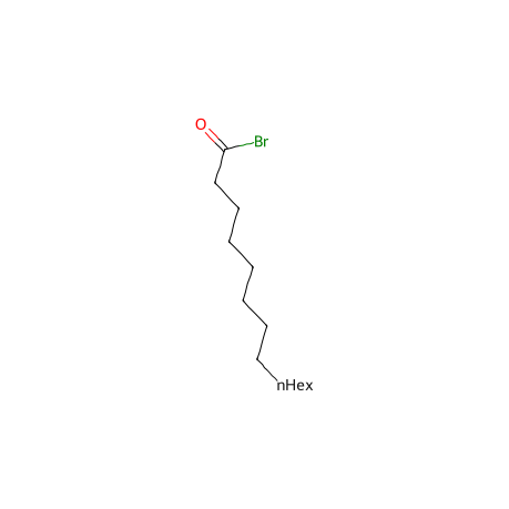 CCCCCCCCCCCCCC(=O)Br